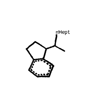 CCCCCCCC(C)C1CCc2ccccc21